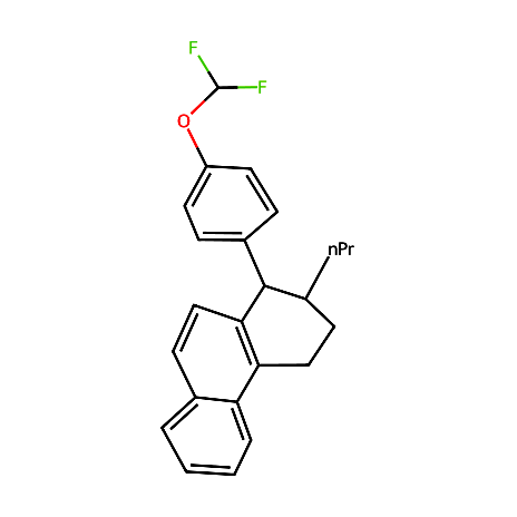 CCCC1CCc2c(ccc3ccccc23)C1c1ccc(OC(F)F)cc1